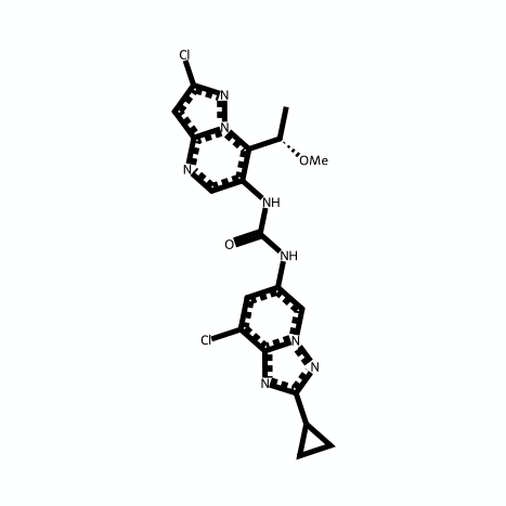 CO[C@@H](C)c1c(NC(=O)Nc2cc(Cl)c3nc(C4CC4)nn3c2)cnc2cc(Cl)nn12